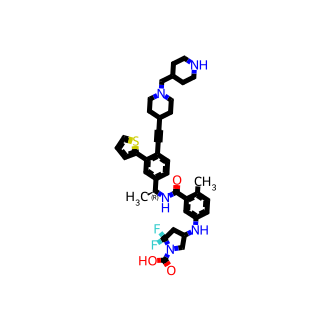 Cc1ccc(NC2CN(C(=O)O)C(F)(F)C2)cc1C(=O)N[C@H](C)c1ccc(C#CC2CCN(CC3CCNCC3)CC2)c(-c2cccs2)c1